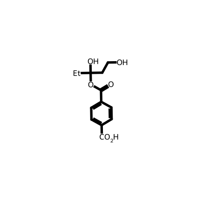 CCC(O)(CCO)OC(=O)c1ccc(C(=O)O)cc1